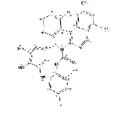 Cc1cc(C)c2ncc(N(Cc3cc(C(C)(C)C)c(O)c(C(C)(C)C)c3)C(=O)Nc3ccc(F)cc3F)c(-c3ccccc3Cl)c2c1